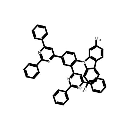 FC(F)(F)c1ccc2c3ccc(C(F)(F)F)cc3n(-c3ccc(-c4cc(-c5ccccc5)nc(-c5ccccc5)n4)cc3-c3cc(-c4ccccc4)nc(-c4ccccc4)n3)c2c1